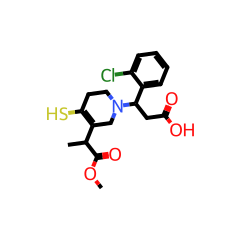 COC(=O)C(C)C1=C(S)CCN(C(CC(=O)O)c2ccccc2Cl)C1